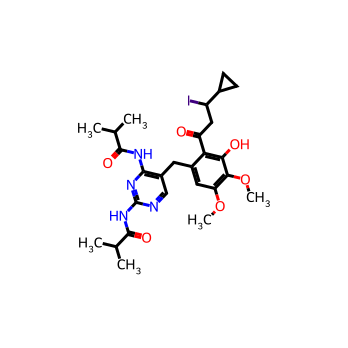 COc1cc(Cc2cnc(NC(=O)C(C)C)nc2NC(=O)C(C)C)c(C(=O)CC(I)C2CC2)c(O)c1OC